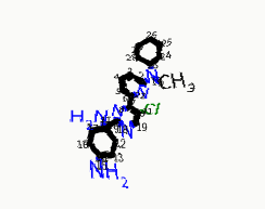 CN(c1cccc(-c2nc(C3(N)CCC(N)CC3)ncc2Cl)n1)C1CCCCC1